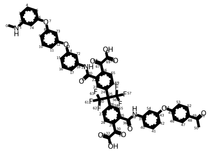 CNc1cccc(Oc2cccc(Oc3cccc(NC(=O)c4cc(C(c5ccc(C(=O)C(=O)O)c(C(=O)Nc6cccc(Oc7ccc(C(C)=O)cc7)c6)c5)(C(F)(F)F)C(F)(F)F)ccc4C(=O)C(=O)O)c3)c2)c1